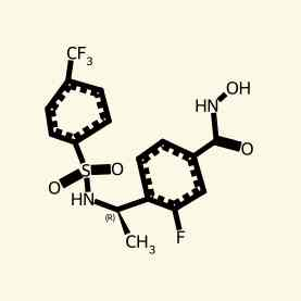 C[C@@H](NS(=O)(=O)c1ccc(C(F)(F)F)cc1)c1ccc(C(=O)NO)cc1F